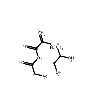 C=C(C)C(=O)OC(=O)CC(C)=O.CC(O)CO